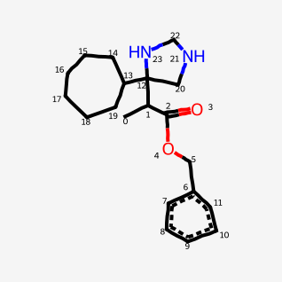 CC(C(=O)OCc1ccccc1)C1(C2CCCCCC2)CNCN1